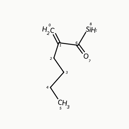 C=C(CCCC)C(=O)[SiH]